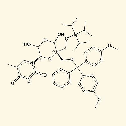 COc1ccc(C(OC[C@@]2(CO[Si](C(C)C)(C(C)C)C(C)C)O[C@@H](n3cc(C)c(=O)[nH]c3=O)C(O)OC2O)(c2ccccc2)c2ccc(OC)cc2)cc1